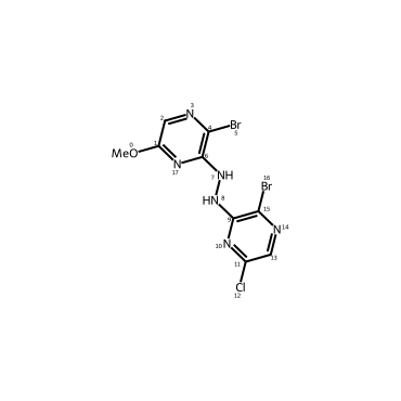 COc1cnc(Br)c(NNc2nc(Cl)cnc2Br)n1